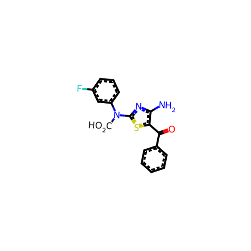 Nc1nc(N(C(=O)O)c2cccc(F)c2)sc1C(=O)c1ccccc1